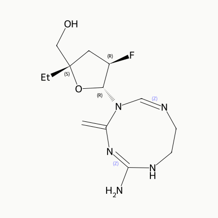 C=C1/N=C(/N)NCC/N=C\N1[C@@H]1O[C@](CC)(CO)C[C@H]1F